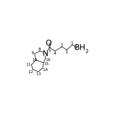 BCCCCC(=O)N1CCC2CCCCC2C1